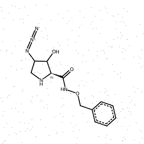 [N-]=[N+]=NC1CN[C@H](C(=O)NOCc2ccccc2)C1O